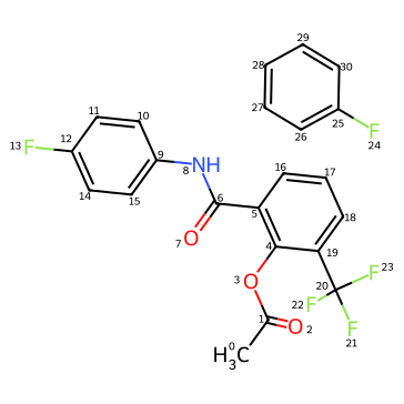 CC(=O)Oc1c(C(=O)Nc2ccc(F)cc2)cccc1C(F)(F)F.Fc1ccccc1